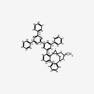 CC1CC2CC3(C1)CC3c1c(-c3cc(-c4ccccc4)cc(-c4nc(-c5ccccc5)nc(-c5ccccc5)n4)c3)cccc1-c1ccccc12